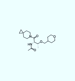 CC(=O)N[C@H](C(=O)N1CCC2(CC1)CC2)[C@@H](C)OCC1CCOCC1